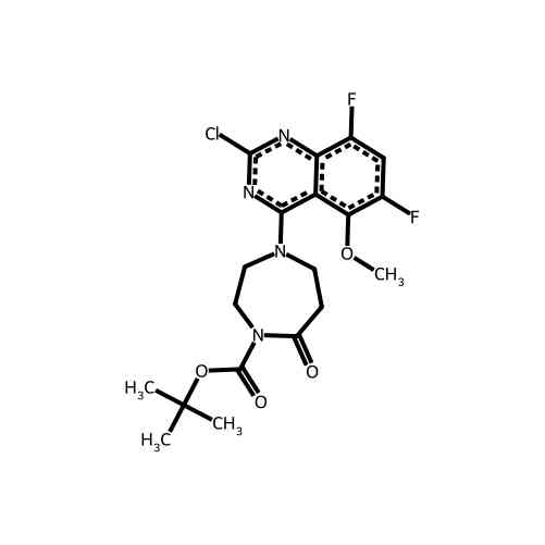 COc1c(F)cc(F)c2nc(Cl)nc(N3CCC(=O)N(C(=O)OC(C)(C)C)CC3)c12